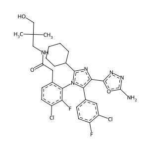 CC(C)(CO)CNC(=O)Cc1ccc(Cl)c(F)c1-n1c(C2CCCCC2)nc(-c2nnc(N)o2)c1-c1ccc(F)c(Cl)c1